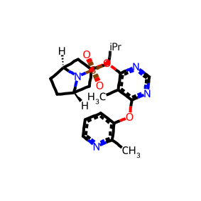 Cc1ncccc1Oc1ncnc(OC2C[C@@H]3CC[C@@H](C2)N3S(=O)(=O)CC(C)C)c1C